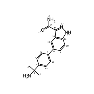 CC(C)(N)c1ccc(-c2ccc3[nH]nc(C(N)=O)c3c2)cc1